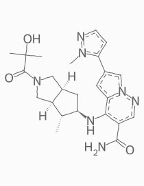 C[C@@H]1[C@H]2CN(C(=O)C(C)(C)O)C[C@H]2C[C@H]1Nc1c(C(N)=O)cnn2cc(-c3ccnn3C)cc12